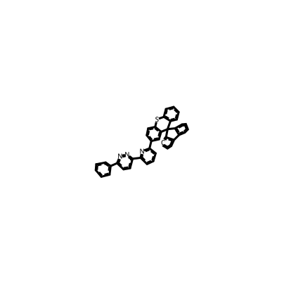 c1ccc(-c2ccc(-c3cccc(-c4ccc5c(c4)C4(c6ccccc6S5)c5ccccc5-c5ccccc54)n3)nn2)cc1